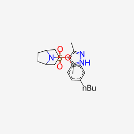 CCCCc1ccc(OC2CC3CCC(C2)N3S(=O)(=O)c2c(C)n[nH]c2C)cc1